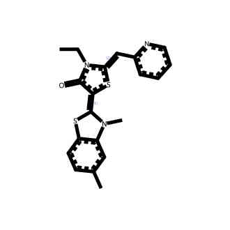 CCn1c(=O)/c(=C2\Sc3ccc(C)cc3N2C)s/c1=C\c1ccccn1